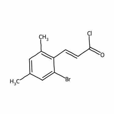 Cc1cc(C)c(/C=C/C(=O)Cl)c(Br)c1